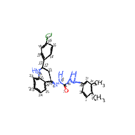 Cc1ccc(NC(=O)NN=C2CC(c3ccc(Cl)cc3)Nc3ccccc32)cc1C